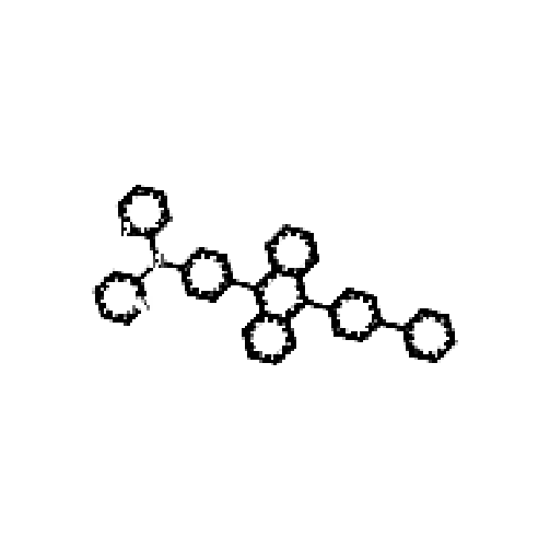 c1ccc(-c2ccc(-c3c4ccccc4c(-c4ccc(N(c5ccccn5)c5ccccn5)cc4)c4ccccc34)cc2)cc1